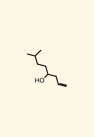 C=CCC(O)CCC(C)C